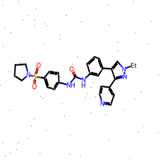 CCn1cc(-c2cccc(NC(=O)Nc3ccc(S(=O)(=O)N4CCCC4)cc3)c2)c(-c2ccncc2)n1